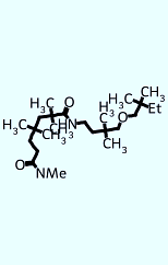 CCC(C)(C)COCC(C)(C)CCNC(=O)C(C)(C)CC(C)(C)CCC(=O)NC